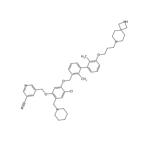 Cc1c(COc2cc(OCc3cncc(C#N)c3)c(CN3CCCCC3)cc2Cl)cccc1-c1cccc(OCCCN2CCC3(CC2)CNC3)c1C